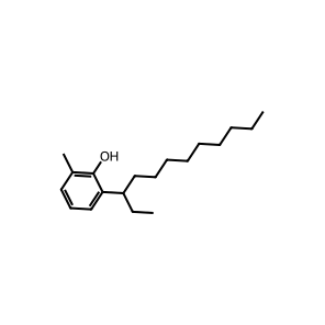 CCCCCCCCCC(CC)c1cccc(C)c1O